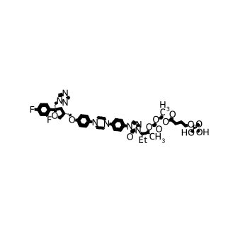 CC[C@@H]([C@H](C)OC(=O)OC(C)OC(=O)CCCOP(=O)(O)O)n1ncn(-c2ccc(N3CCN(c4ccc(OC[C@@H]5CO[C@@](Cn6cncn6)(c6ccc(F)cc6F)C5)cc4)CC3)cc2)c1=O